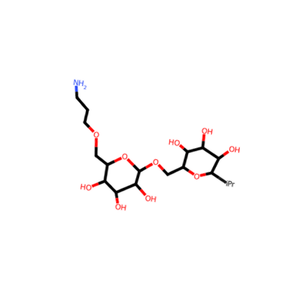 CC(C)C1OC(COC2OC(COCCCN)C(O)C(O)C2O)C(O)C(O)C1O